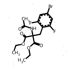 CCOC(=O)C(Cc1c(F)cc(Br)cc1F)(NC(C)=O)C(=O)OCC